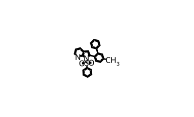 Cc1ccc(-c2cc3cccnc3n2S(=O)(=O)c2ccccc2)c(-c2ccccc2)c1